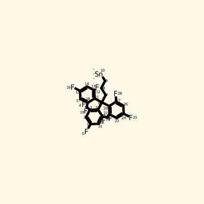 Fc1cc(F)c(C(CC[CH2][Sn])(c2c(F)cc(F)cc2F)c2c(F)cc(F)cc2F)c(F)c1